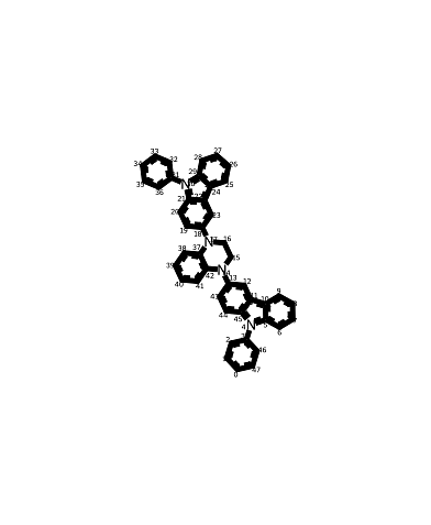 c1ccc(-n2c3ccccc3c3cc(N4CCN(c5ccc6c(c5)c5ccccc5n6-c5ccccc5)c5ccccc54)ccc32)cc1